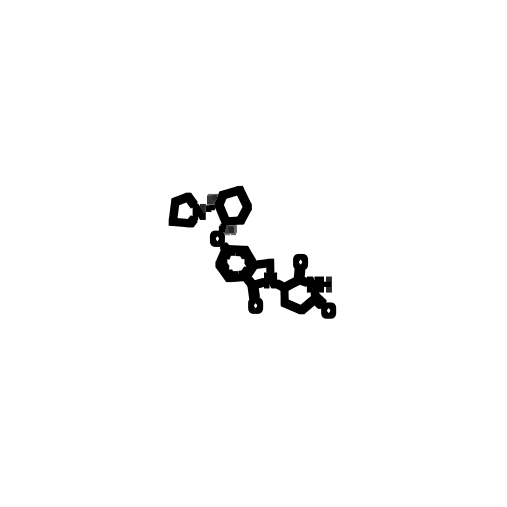 O=C1CCC(N2Cc3cc(O[C@H]4CCCC[C@H]4N4CCCC4)ccc3C2=O)C(=O)N1